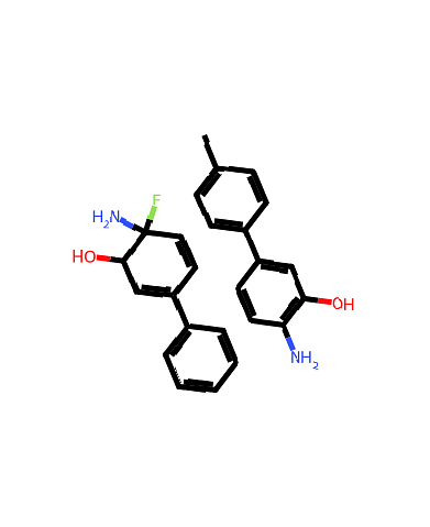 Cc1ccc(-c2ccc(N)c(O)c2)cc1.NC1(F)C=CC(c2ccccc2)=CC1O